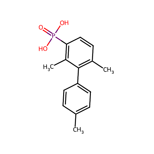 Cc1ccc(-c2c(C)ccc(P(=O)(O)O)c2C)cc1